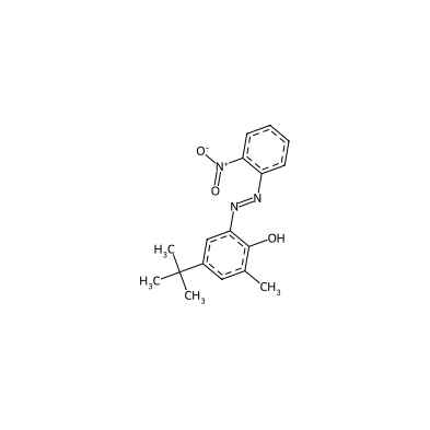 Cc1cc(C(C)(C)C)cc(N=Nc2ccccc2[N+](=O)[O-])c1O